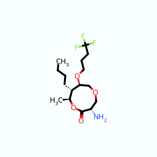 CCCC[C@H]1[C@H](C)OC(=O)[C@@H](N)COC[C@@H]1OCCCC(F)(F)F